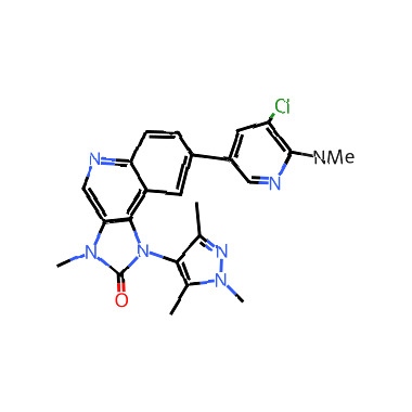 CNc1ncc(-c2ccc3ncc4c(c3c2)n(-c2c(C)nn(C)c2C)c(=O)n4C)cc1Cl